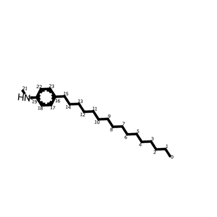 CCCCCCCCCCCCCCCCc1ccc(NC)cc1